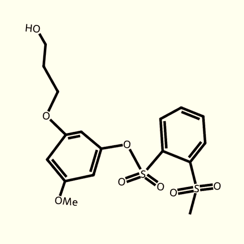 COc1cc(OCCCO)cc(OS(=O)(=O)c2ccccc2S(C)(=O)=O)c1